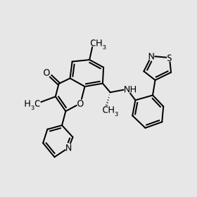 Cc1cc([C@@H](C)Nc2ccccc2-c2cnsc2)c2oc(-c3cccnc3)c(C)c(=O)c2c1